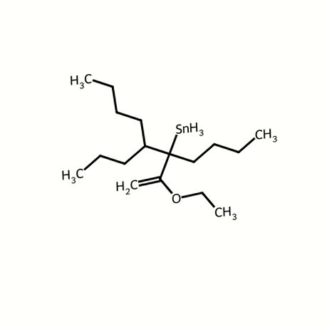 C=C(OCC)[C]([SnH3])(CCCC)C(CCC)CCCC